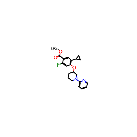 CC(C)(C)OC(=O)c1cc(C2CC2)c(O[C@@H]2CCCN(c3ccccn3)C2)cc1F